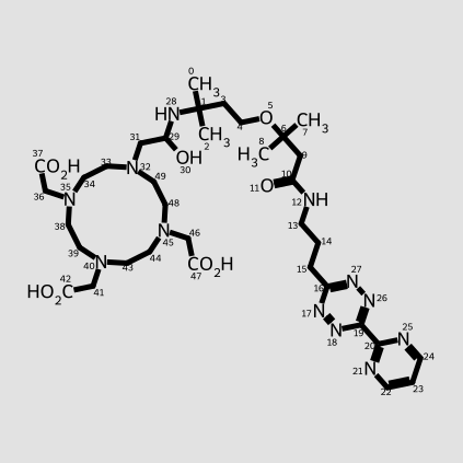 CC(C)(CCOC(C)(C)CC(=O)NCCCc1nnc(-c2ncccn2)nn1)NC(O)CN1CCN(CC(=O)O)CCN(CC(=O)O)CCN(CC(=O)O)CC1